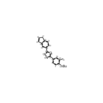 CCCCc1ccc(-c2nnc(-c3ccc4c(c3)C=CC4)o2)cc1C